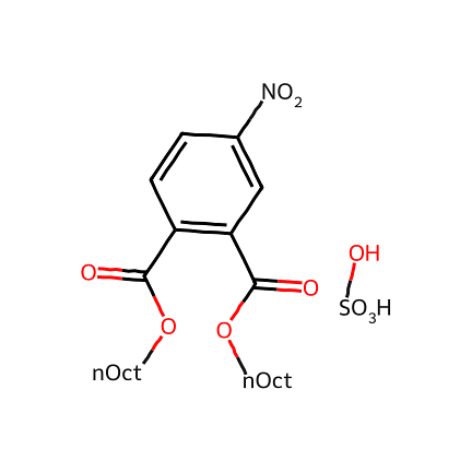 CCCCCCCCOC(=O)c1ccc([N+](=O)[O-])cc1C(=O)OCCCCCCCC.O=S(=O)(O)O